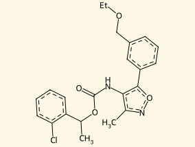 CCOCc1cccc(-c2onc(C)c2NC(=O)OC(C)c2ccccc2Cl)c1